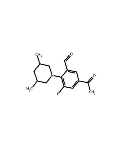 CC(=O)c1cc(F)c(N2CC(C)CC(C)C2)c(C=O)c1